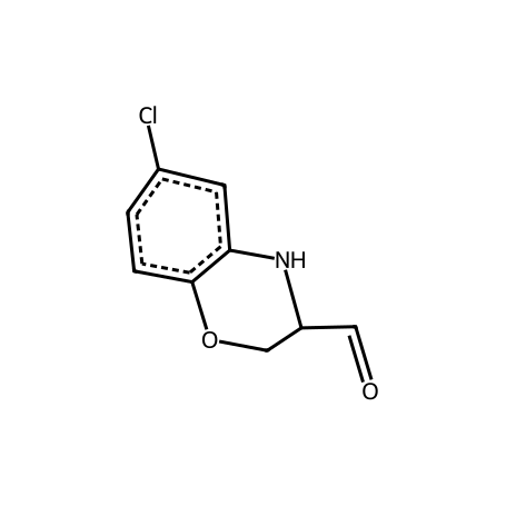 O=CC1COc2ccc(Cl)cc2N1